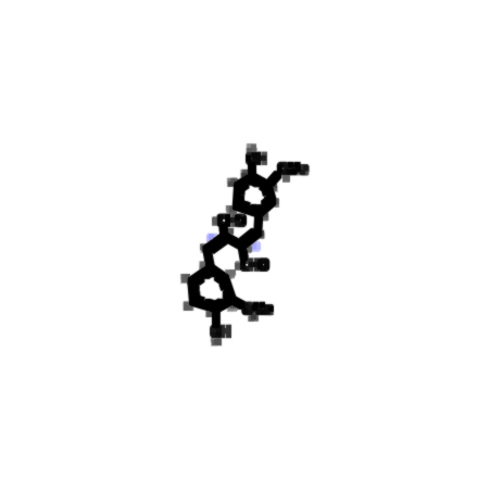 COc1cc(/C=C(C=O)\C(C=O)=C/c2ccc(O)c(OC)c2)ccc1O